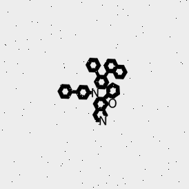 c1ccc(-c2ccc(N(c3ccc(-c4cccc5ccccc45)c(-c4ccccc4)c3)c3cc4ccncc4c4oc5ccccc5c34)cc2)cc1